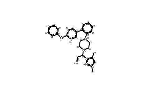 Cc1cc(C)n(C(C=O)N2CCN(c3ccccc3-c3cnc(Oc4ccccc4)nc3)CC2)n1